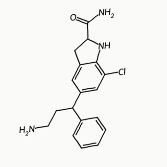 NCCC(c1ccccc1)c1cc(Cl)c2c(c1)CC(C(N)=O)N2